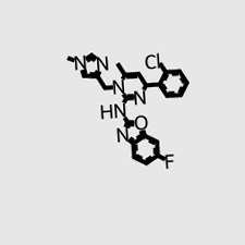 CC1=CC(c2ccccc2Cl)N=C(Nc2nc3ccc(F)cc3o2)N1Cc1cn(C)cn1